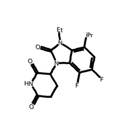 CCn1c(=O)n(C2CCC(=O)NC2=O)c2c(F)c(F)cc(C(C)C)c21